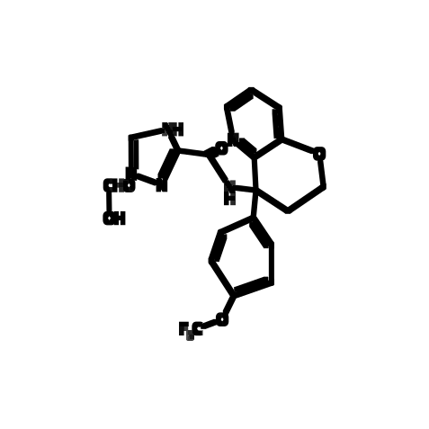 O=C(NC1(c2ccc(OC(F)(F)F)cc2)CCOc2cccnc21)c1nnc[nH]1.O=CO